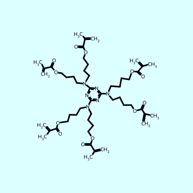 C=C(C)C(=O)OCCCCN(CCCCOC(=O)C(=C)C)c1nc(N(CCCCOC(=O)C(=C)C)CCCCOC(=O)C(=C)C)nc(N(CCCCOC(=O)C(=C)C)CCCCOC(=O)C(=C)C)n1